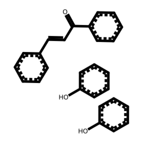 O=C(C=Cc1ccccc1)c1ccccc1.Oc1ccccc1.Oc1ccccc1